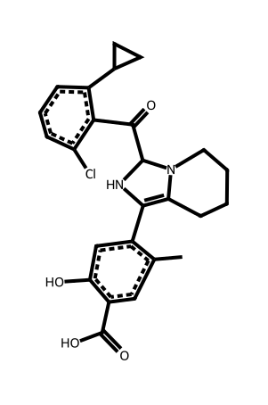 Cc1cc(C(=O)O)c(O)cc1C1=C2CCCCN2C(C(=O)c2c(Cl)cccc2C2CC2)N1